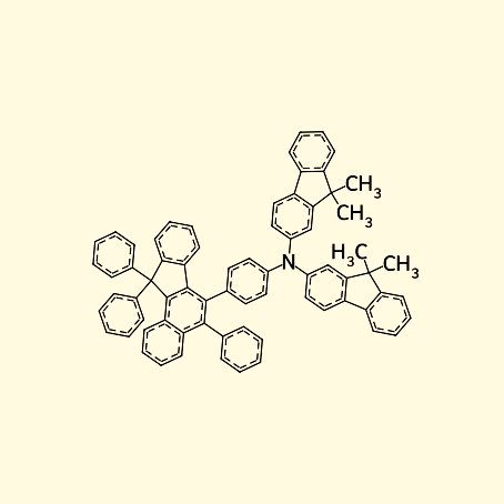 CC1(C)c2ccccc2-c2ccc(N(c3ccc(-c4c5c(c6ccccc6c4-c4ccccc4)C(c4ccccc4)(c4ccccc4)c4ccccc4-5)cc3)c3ccc4c(c3)C(C)(C)c3ccccc3-4)cc21